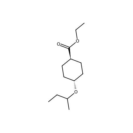 CCOC(=O)[C@H]1CC[C@H](OC(C)CC)CC1